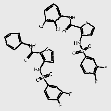 O=C(Nc1cccc(Cl)c1Cl)c1sccc1NS(=O)(=O)c1ccc(F)c(F)c1.O=C(Nc1ccccc1)c1sccc1NS(=O)(=O)c1ccc(F)c(F)c1